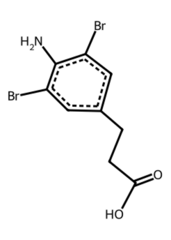 Nc1c(Br)cc(CCC(=O)O)cc1Br